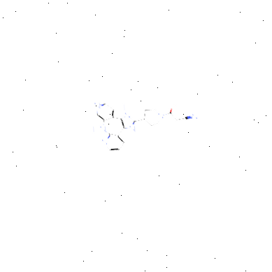 N#CCC(=O)N1CCC(c2nc3c([nH]2)-c2ccncc2Nc2ncccc2-3)CC1